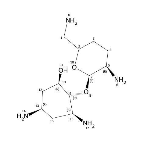 NCC1CC[C@@H](N)[C@@H](O[C@H]2[C@H](O)C[C@H](N)C[C@@H]2N)O1